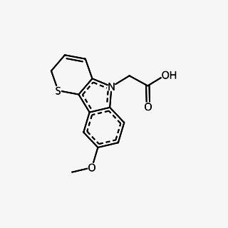 COc1ccc2c(c1)c1c(n2CC(=O)O)C=CCS1